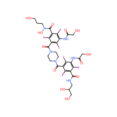 O=C(CO)Nc1c(I)c(C(=O)NCC(O)CO)c(I)c(C(=O)N2CCN(C(=O)c3c(I)c(NC(=O)CO)c(I)c(C(=O)N(O)CCCO)c3I)CC2)c1I